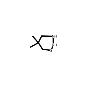 CC1(C)CNNSC1